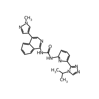 CC(C)n1cnnc1-c1cccc(NC(=O)Nc2ncc(-c3cnn(C)c3)c3ccccc23)n1